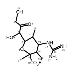 CCOC(=O)C1(F)OC(C(O)C(=O)CO)C(C)C(NC(=N)N)C1F